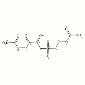 NC(=O)OCCS(=O)(=O)CC(=O)c1ccc([N+](=O)[O-])cc1